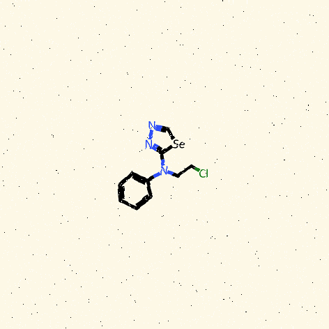 ClCCN(c1ccccc1)c1nnc[se]1